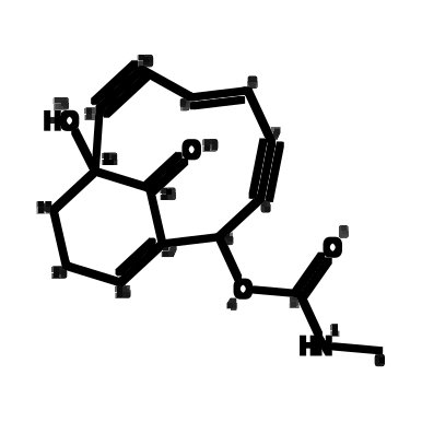 CNC(=O)OC1C#C/C=C/C#CC2(O)CCC=C1C2=O